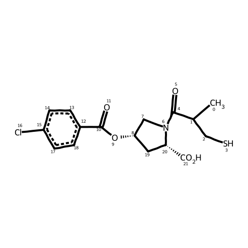 CC(CS)C(=O)N1C[C@@H](OC(=O)c2ccc(Cl)cc2)C[C@H]1C(=O)O